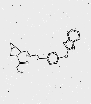 O=C(CO)N1CC2CC2C1CNCCc1ccc(Oc2nc3ccccc3s2)cc1